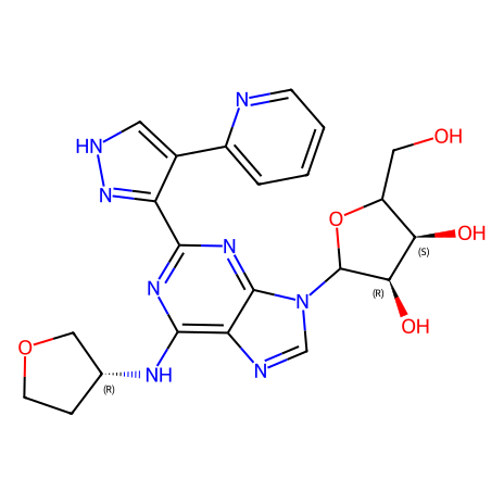 OCC1OC(n2cnc3c(N[C@@H]4CCOC4)nc(-c4n[nH]cc4-c4ccccn4)nc32)[C@H](O)[C@@H]1O